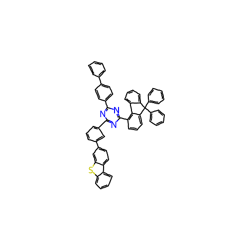 c1ccc(-c2ccc(-c3nc(-c4cccc(-c5ccc6c(c5)sc5ccccc56)c4)nc(-c4cccc5c4-c4ccccc4C5(c4ccccc4)c4ccccc4)n3)cc2)cc1